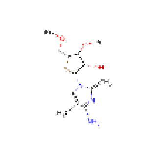 C=C1N=C(N)C(C)=CN1[C@@H]1S[C@H](COC(C)C)C(OC(C)C)[C@@H]1O